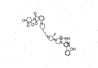 O=C1CCC(N2C(=O)c3cccc(N4CCC(CCCN5CCC(N6CCN7c8cc(-c9ccccc9O)nnc8NC[C@H]7C6)C(F)C5)CC4)c3C2=O)C(=O)N1